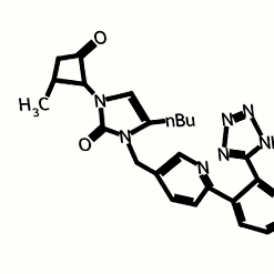 CCCCc1cn(C2C(=O)CC2C)c(=O)n1Cc1ccc(-c2ccccc2-c2nnn[nH]2)nc1